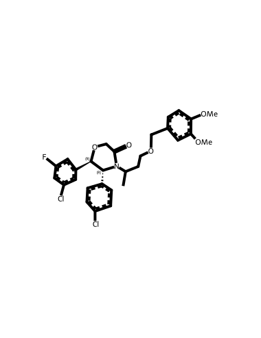 COc1ccc(COCCC(C)N2C(=O)CO[C@H](c3cc(F)cc(Cl)c3)[C@H]2c2ccc(Cl)cc2)cc1OC